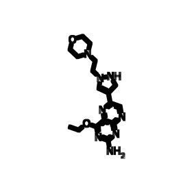 CCOc1nc(N)nc2ncc(C3=CN(CCN4CCOCC4)NC3)nc12